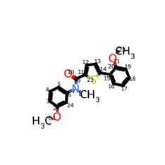 COc1cccc(N(C)C(=O)c2ccc(-c3ccccc3OC)s2)c1